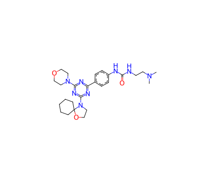 CN(C)CCNC(=O)Nc1ccc(-c2nc(N3CCOCC3)nc(N3CCOC34CCCCC4)n2)cc1